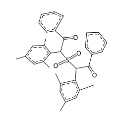 Cc1cc(C)c(C(C(=O)c2ccccc2)S(=O)(=O)C(C(=O)c2ccccc2)c2c(C)cc(C)cc2C)c(C)c1